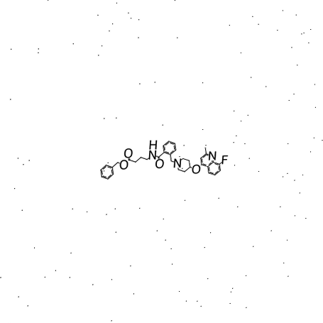 Cc1cc(OC2CCN(Cc3ccccc3C(=O)NCCCC(=O)OCc3ccccc3)CC2)c2cccc(F)c2n1